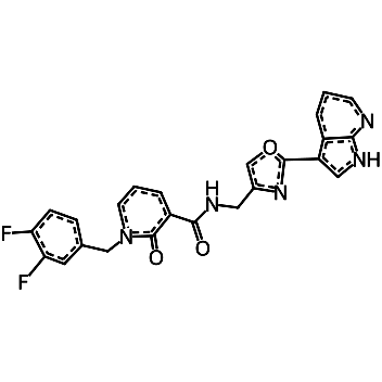 O=C(NCc1coc(-c2c[nH]c3ncccc23)n1)c1cccn(Cc2ccc(F)c(F)c2)c1=O